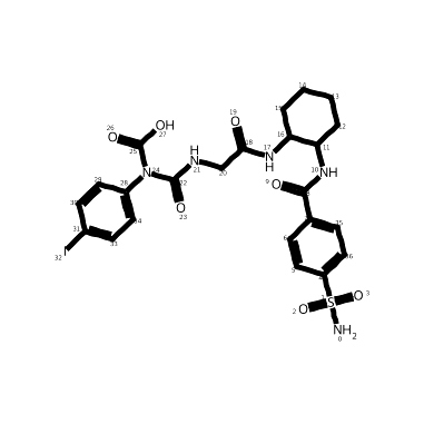 NS(=O)(=O)c1ccc(C(=O)NC2CCCCC2NC(=O)CNC(=O)N(C(=O)O)c2ccc(I)cc2)cc1